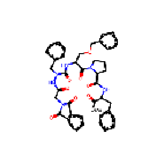 COC(=O)C(Cc1ccccc1)NC(=O)C1CCCN1C(=O)C(COCc1ccccc1)NC(=O)N(Cc1ccccc1)NC(=O)CN1C(=O)c2ccccc2C1=O